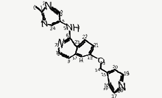 Cc1ncc(Nc2nccc3cc(OCc4ccncc4)ccc23)cn1